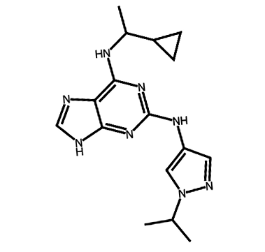 CC(Nc1nc(Nc2cnn(C(C)C)c2)nc2[nH]cnc12)C1CC1